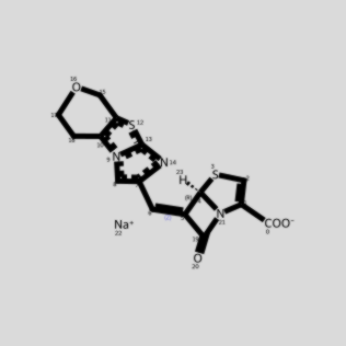 O=C([O-])C1=CS[C@@H]2/C(=C\c3cn4c5c(sc4n3)COCC5)C(=O)N12.[Na+]